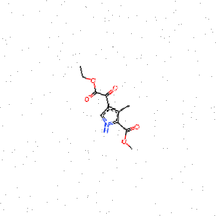 CCOC(=O)C(=O)c1c[nH]c(C(=O)OC)c1C